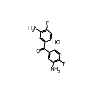 Cl.Nc1cc(C(=O)c2ccc(F)c(N)c2)ccc1F